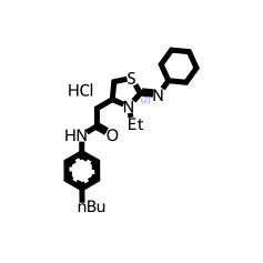 CCCCc1ccc(NC(=O)CC2CS/C(=N\C3CCCCC3)N2CC)cc1.Cl